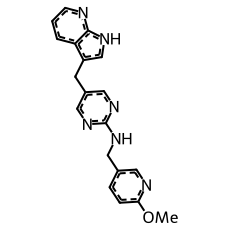 COc1ccc(CNc2ncc(Cc3c[nH]c4ncccc34)cn2)cn1